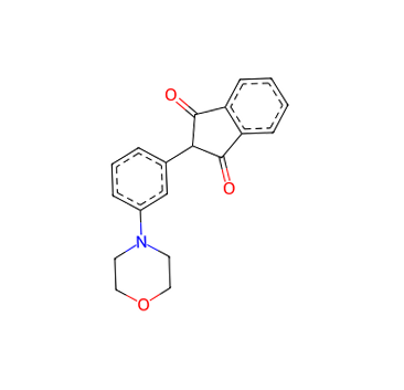 O=C1c2ccccc2C(=O)C1c1cccc(N2CCOCC2)c1